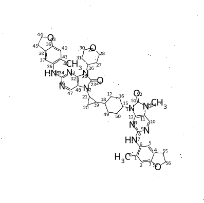 Cc1cc2c(cc1Nc1ncc3c(n1)n(C1CCC(C4CC4n4c(=O)n(C5CCOCC5)c5nc(Nc6cc7c(cc6C)OCC7)ncc54)CC1)c(=O)n3C)CCO2